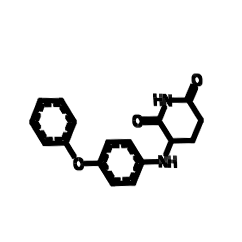 O=C1CCC(Nc2ccc(Oc3ccccc3)cc2)C(=O)N1